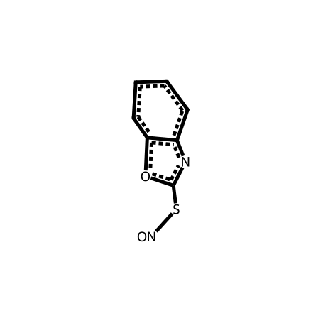 O=NSc1nc2ccccc2o1